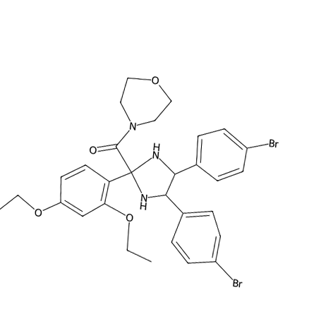 CCOc1ccc(C2(C(=O)N3CCOCC3)NC(c3ccc(Br)cc3)C(c3ccc(Br)cc3)N2)c(OCC)c1